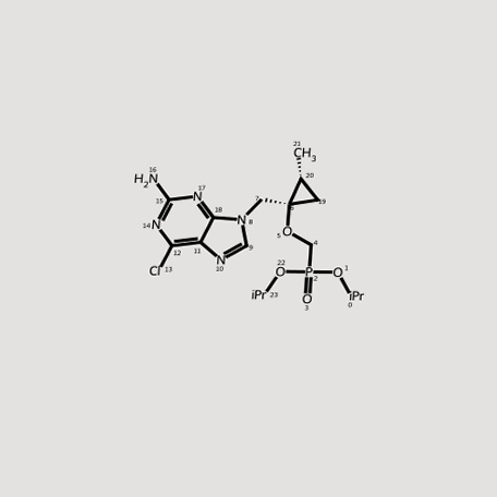 CC(C)OP(=O)(CO[C@]1(Cn2cnc3c(Cl)nc(N)nc32)C[C@H]1C)OC(C)C